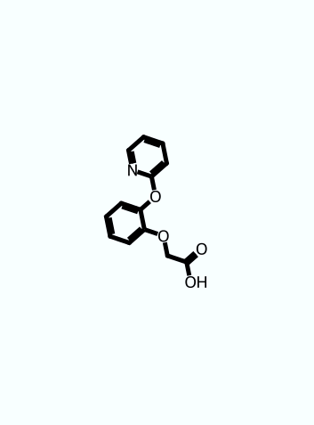 O=C(O)COc1ccccc1Oc1ccccn1